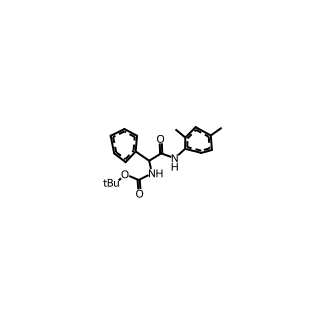 Cc1ccc(NC(=O)C(NC(=O)OC(C)(C)C)c2ccccc2)c(C)c1